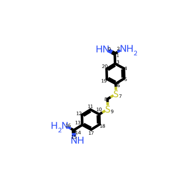 N=C(N)c1ccc(SCSc2ccc(C(=N)N)cc2)cc1